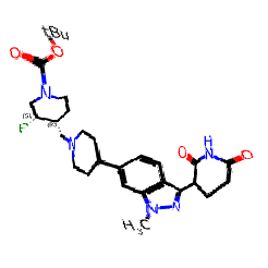 Cn1nc(C2CCC(=O)NC2=O)c2ccc(C3CCN(C[C@H]4CCN(C(=O)OC(C)(C)C)C[C@H]4F)CC3)cc21